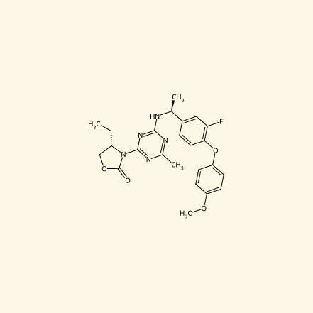 CC[C@H]1COC(=O)N1c1nc(C)nc(N[C@@H](C)c2ccc(Oc3ccc(OC)cc3)c(F)c2)n1